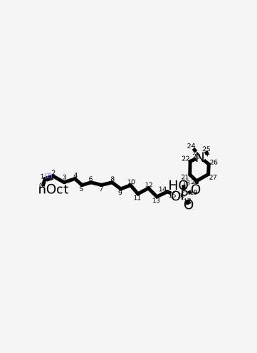 CCCCCCCC/C=C\CCCCCCCCCCCCOP(=O)(O)OC1CC[N+](C)(C)CC1